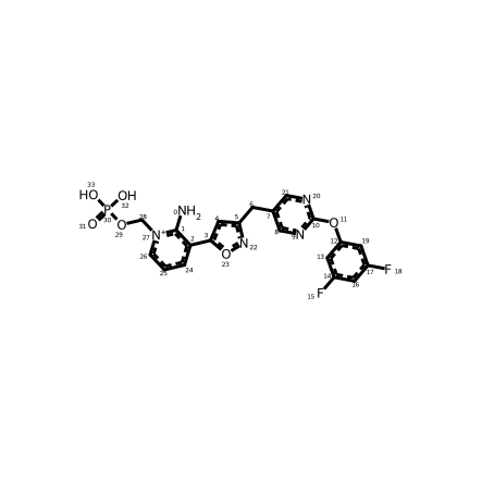 Nc1c(-c2cc(Cc3cnc(Oc4cc(F)cc(F)c4)nc3)no2)ccc[n+]1COP(=O)(O)O